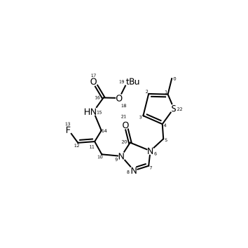 Cc1ccc(Cn2cnn(CC(=CF)CNC(=O)OC(C)(C)C)c2=O)s1